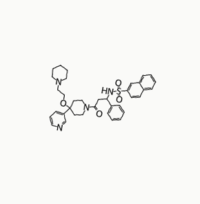 O=C(CC(NS(=O)(=O)c1ccc2ccccc2c1)c1ccccc1)N1CCC(OCCN2CCCCC2)(c2cccnc2)CC1